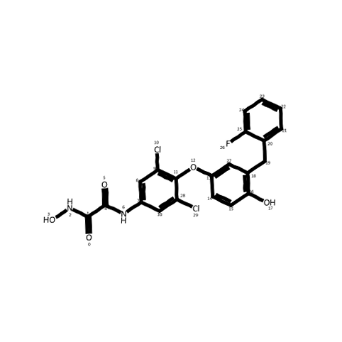 O=C(NO)C(=O)Nc1cc(Cl)c(Oc2ccc(O)c(Cc3ccccc3F)c2)c(Cl)c1